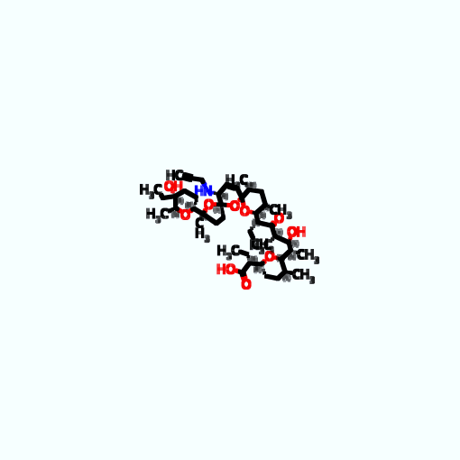 C#CCN[C@@H]1C=CC2(O[C@H]([C@@H](CC)C(=O)[C@@H](C)[C@@H](O)[C@H](C)[C@@H]3O[C@@H]([C@@H](CC)C(=O)O)CC[C@@H]3C)[C@@H](C)C[C@H]2C)O[C@@]12CC[C@@](C)([C@H]1CC[C@](O)(CC)[C@H](C)O1)O2